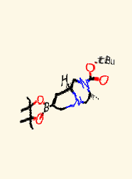 C[C@@H]1CN2CC(B3OC(C)(C)C(C)(C)O3)=C[C@H]2CN1C(=O)OC(C)(C)C